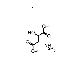 N.O=C(O)CC(O)C(=O)O.S